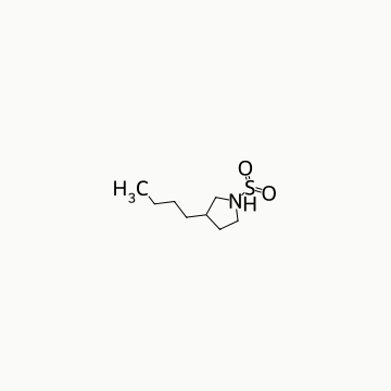 CCCCC1CCN([SH](=O)=O)C1